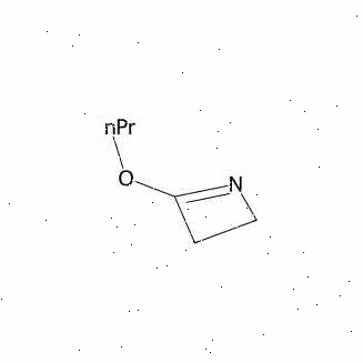 CCCOC1=NCC1